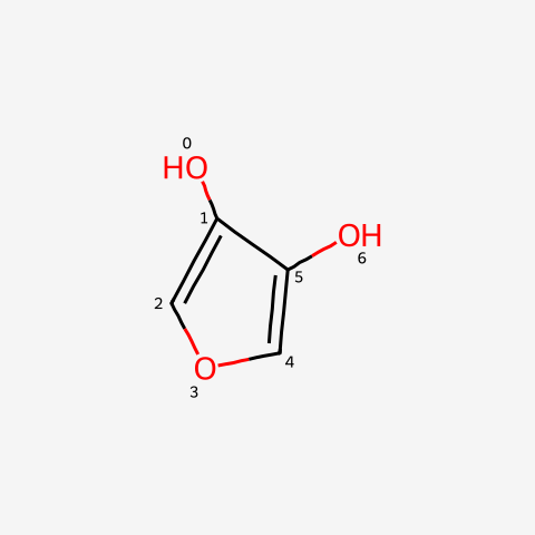 Oc1cocc1O